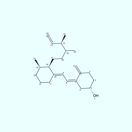 C=C1CC[C@H](O)C/C1=C/C=C1\CCC[C@@H](C)[C@H]1CCC(C)[C@H](C)C=O